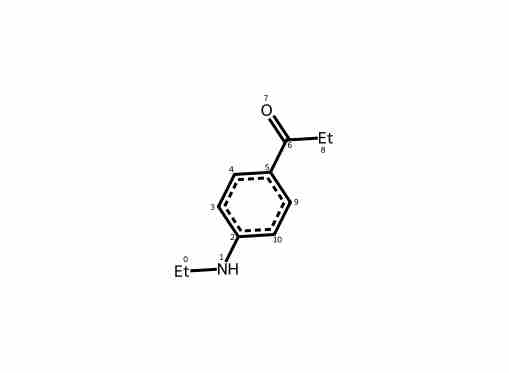 CCNc1ccc(C(=O)CC)cc1